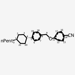 CCCCC[C@H]1CC[C@H](c2ccc(COc3ccc(C#N)cc3)cc2)CC1